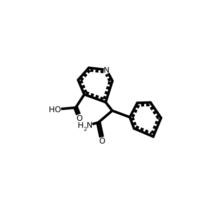 NC(=O)C(c1ccccc1)c1cnccc1C(=O)O